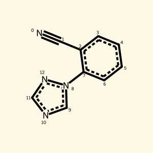 N#Cc1ccccc1-n1cncn1